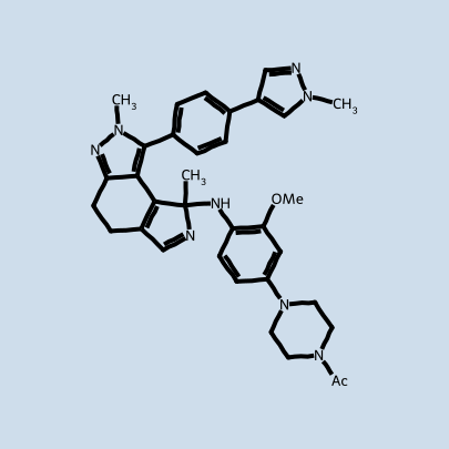 COc1cc(N2CCN(C(C)=O)CC2)ccc1NC1(C)N=CC2=C1c1c(nn(C)c1-c1ccc(-c3cnn(C)c3)cc1)CC2